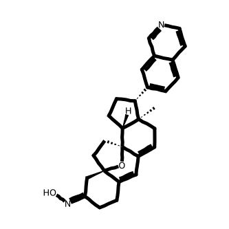 C[C@]12CC=C3C=C4CCC(=NO)C[C@]45CC[C@]3(O5)[C@@H]1CC[C@@H]2c1ccc2ccncc2c1